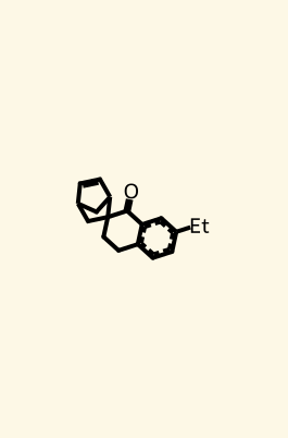 CCc1ccc2c(c1)C(=O)C1(CC2)CC2C=CC1C2